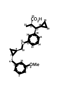 COc1cccc(C[C@@H]2C[C@H]2COc2cccc([C@H](C3CC3)[C@H](C)C(=O)O)c2)c1